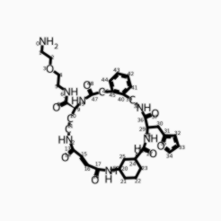 NCCOCCNC(=O)[C@@H]1CCNC(=O)/C=C/C(=O)N[C@@H]2CCC[C@@H](C2)C(=O)NC(Cc2ccco2)C(=O)NCc2ccccc2CC(=O)N1